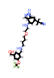 CC(C)(C#N)c1cc(NCCOCCCCNCc2cc(CO)cc(OC(F)(F)F)c2)c2cn[nH]c2c1